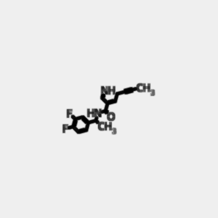 CC#CC/C=C(\C=N)C(=O)NC(C)c1ccc(F)c(F)c1